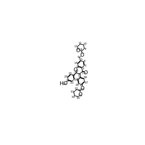 O=C1c2ccc(COC3CCCCO3)cc2OC(c2ccc(O)cc2)C1c1ccc(OC2CCCCO2)cc1